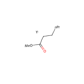 CCCCCC(=O)OC.[Y]